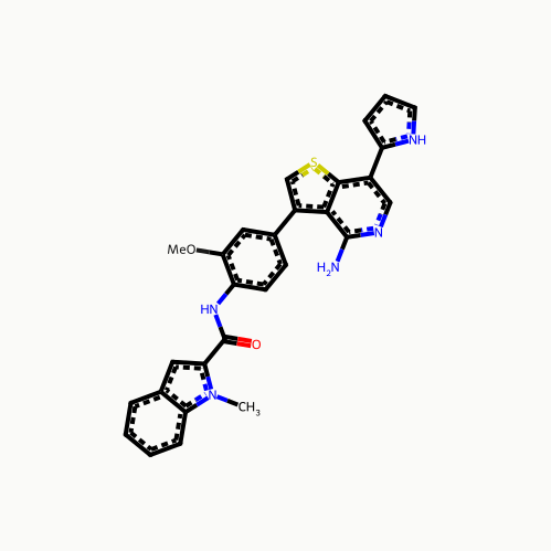 COc1cc(-c2csc3c(-c4ccc[nH]4)cnc(N)c23)ccc1NC(=O)c1cc2ccccc2n1C